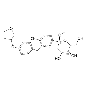 CO[C@]1(c2ccc(Cl)c(Cc3ccc(OC4CCOC4)cc3)c2)CC(O)[C@H](O)C(CO)O1